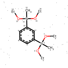 CCO[Si](C)(OCC)c1cccc([Si](C)(OCC)OCC)c1